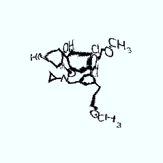 COCCCc1cc(CN(C(=O)[C@H]2CNCC[C@]2(O)c2ccc(Cl)c(Cl)c2)C2CC2)cc(OCCOC)c1